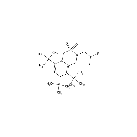 CC(C)(C)C1=N[C@@H](C(C)(C)C)C(C(C)(C)C)=C2CN(CC(F)F)S(=O)(=O)CN12